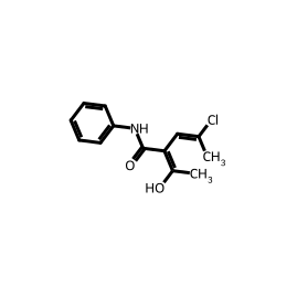 C/C(O)=C(\C=C(/C)Cl)C(=O)Nc1ccccc1